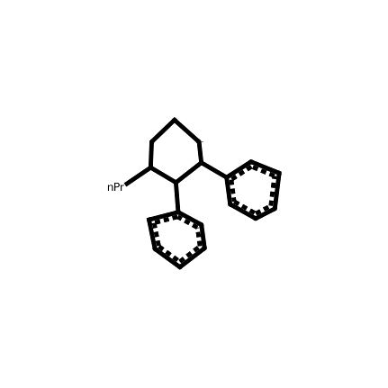 CCCC1CC[CH]C(c2ccccc2)C1c1ccccc1